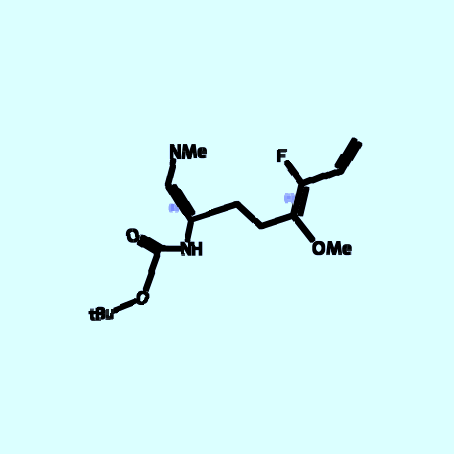 C=C/C(F)=C(/CC/C(=C\NC)NC(=O)OC(C)(C)C)OC